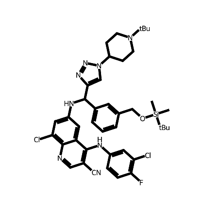 CC(C)(C)N1CCC(n2cc(C(Nc3cc(Cl)c4ncc(C#N)c(Nc5ccc(F)c(Cl)c5)c4c3)c3cccc(CO[Si](C)(C)C(C)(C)C)c3)nn2)CC1